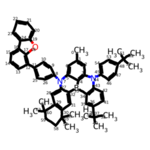 Cc1cc2c3c(c1)N(c1ccc(-c4cccc5c4oc4ccccc45)cc1)c1cc4c(cc1B3c1cc(C(C)(C)C)ccc1N2c1ccc(C(C)(C)C)cc1)C(C)(C)CCC4(C)C